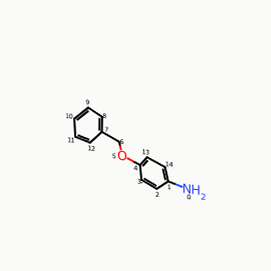 Nc1c[c]c(OCc2ccccc2)cc1